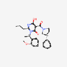 CCCc1nc(O)c(C(=O)N2CC[C@H](c3ccccc3)C2)c(=O)n1[C@H](C)c1ccccc1OC